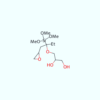 [CH2]CC(CC1CO1)(OCC(O)CO)[Si](OC)(OC)OC